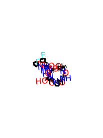 C[C@@H]1C[C@H]2C(=O)O[C@@H](C)[C@H](NC(=O)[C@H](Cc3cc(F)cc(F)c3)NC(=O)Nc3ccccc3)C(=O)N3C[C@H](O)C[C@H]3C(=O)N3CCCC[C@H]3C(=O)N[C@@H](C)C(=O)N2C1